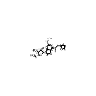 CCSc1nc(NCc2ccco2)c2ncn([C@@H]3O[C@H](CO)[C@@H](O)[C@H]3O)c2n1